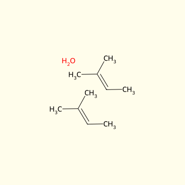 CC=C(C)C.CC=C(C)C.O